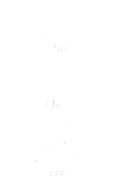 CCNCCN[C@H](C)c1ccccc1